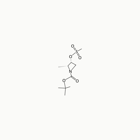 C[C@@H]1[C@H](OS(C)(=O)=O)CN1C(=O)OC(C)(C)C